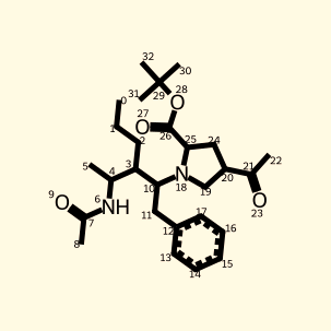 CCCC(C(C)NC(C)=O)C(Cc1ccccc1)N1CC(C(C)=O)CC1C(=O)OC(C)(C)C